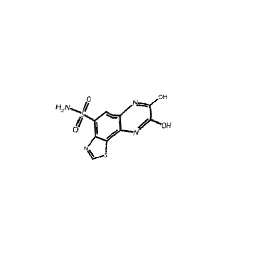 NS(=O)(=O)c1cc2nc(O)c(O)nc2c2scnc12